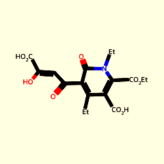 CCOC(=O)c1c(C(=O)O)c(CC)c(C(=O)C=C(O)C(=O)O)c(=O)n1CC